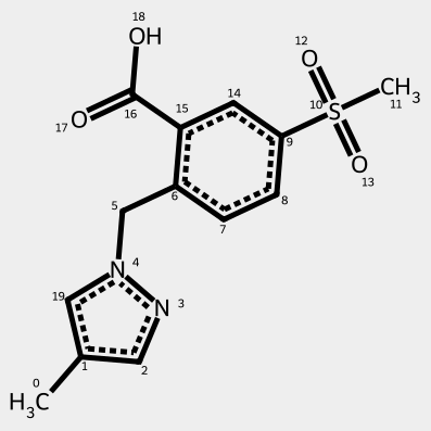 Cc1cnn(Cc2ccc(S(C)(=O)=O)cc2C(=O)O)c1